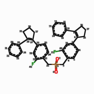 O=S(=O)(Cc1ccc(C2=C(c3ccccc3)CCC2)cc1F)Cc1ccc(C2=C(c3ccccc3)CCC2)cc1F